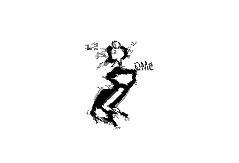 COc1cc2c(cc1N1C[C@@H](C)O[C@@H](C)C1)c1ccnc(C)c1n2C